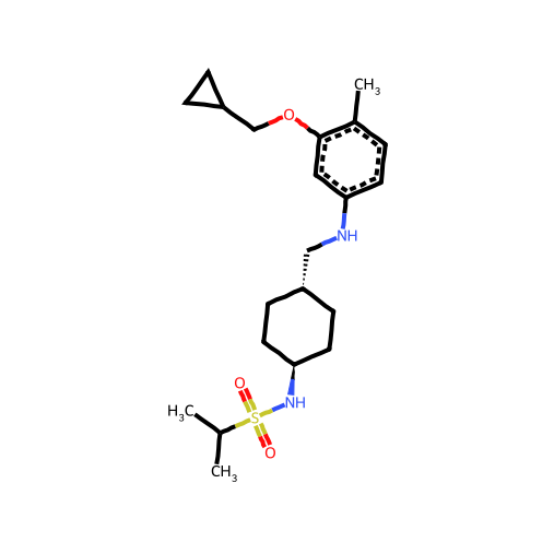 Cc1ccc(NC[C@H]2CC[C@H](NS(=O)(=O)C(C)C)CC2)cc1OCC1CC1